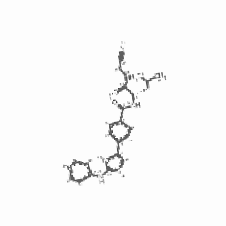 CC(C)C[C@H](NC(=O)c1ccc(-c2csc(Nc3ccncc3)n2)cc1)C(=O)NCC#N